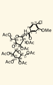 COc1cc(C(=O)N[C@@H]2O[C@H](COC(C)=O)[C@@H](O[C@@H]3O[C@H](COC(C)=O)[C@@H](OC(C)=O)[C@H](OC(C)=O)[C@H]3OC(C)=O)[C@H](OC(C)=O)[C@H]2OC(C)=O)ccc1Cl